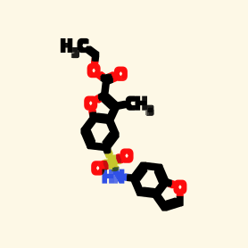 CCOC(=O)c1oc2ccc(S(=O)(=O)Nc3ccc4occc4c3)cc2c1C